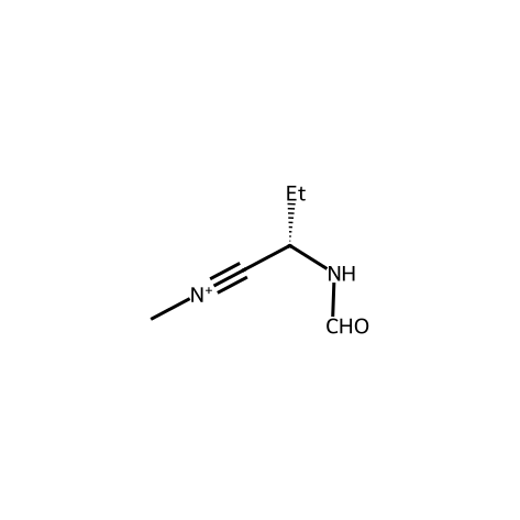 CC[C@@H](C#[N+]C)NC=O